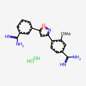 COc1cc(C(=N)N)ccc1-c1cc(-c2cccc(C(=N)N)c2)on1.Cl.Cl